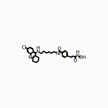 O=C(/C=C/c1ccc(C(=O)NCCCCCCNc2c3c(nc4cc(Cl)ccc24)CCCC3)cc1)NO